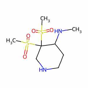 CNC1CCNCC1(S(C)(=O)=O)S(C)(=O)=O